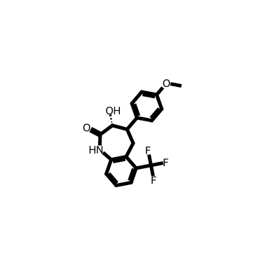 COc1ccc(C2Cc3c(cccc3C(F)(F)F)NC(=O)[C@@H]2O)cc1